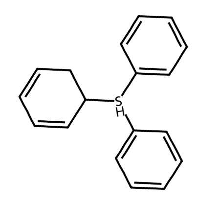 C1=CCC([SH](c2ccccc2)c2ccccc2)C=C1